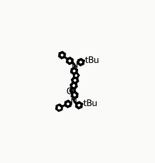 CC(C)(C)c1ccc(N(c2ccc(-c3ccccc3)cc2)c2ccc3c(c2)Cc2cc4cc5c(cc4cc2-3)oc2cc(N(c3ccc(C4=CC=CCC4)cc3)c3cccc(C(C)(C)C)c3)ccc25)cc1